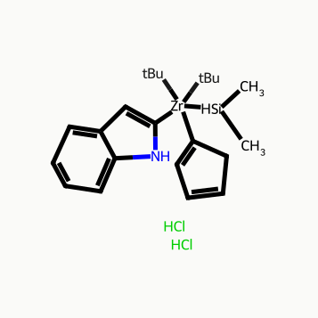 C[SiH](C)[Zr]([C]1=CC=CC1)([c]1cc2ccccc2[nH]1)([C](C)(C)C)[C](C)(C)C.Cl.Cl